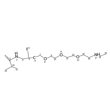 C=C(NCC(F)CCOCCOCCOCCNCC)C(C)C